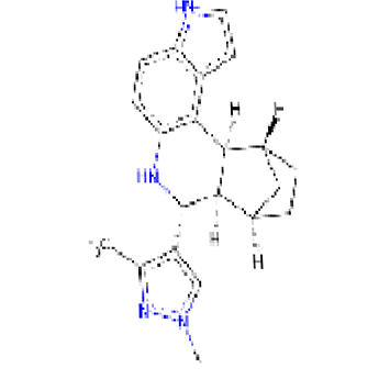 Cn1cc([C@@H]2Nc3ccc4[nH]ccc4c3[C@H]3[C@@H]4CC[C@H](C4)[C@H]32)c(C(F)(F)F)n1